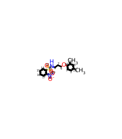 Cc1ccc(OCCCNS(=O)(=O)c2ccccc2[N+](=O)[O-])c(C)c1